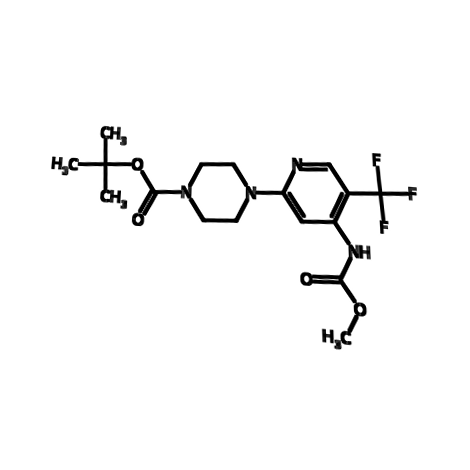 COC(=O)Nc1cc(N2CCN(C(=O)OC(C)(C)C)CC2)ncc1C(F)(F)F